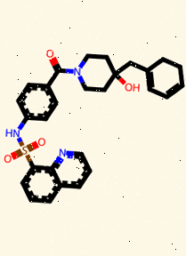 O=C(c1ccc(NS(=O)(=O)c2cccc3cccnc23)cc1)N1CCC(O)(CC2=CC=CCC2)CC1